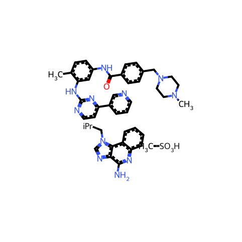 CC(C)Cn1cnc2c(N)nc3ccccc3c21.CS(=O)(=O)O.Cc1ccc(NC(=O)c2ccc(CN3CCN(C)CC3)cc2)cc1Nc1nccc(-c2cccnc2)n1